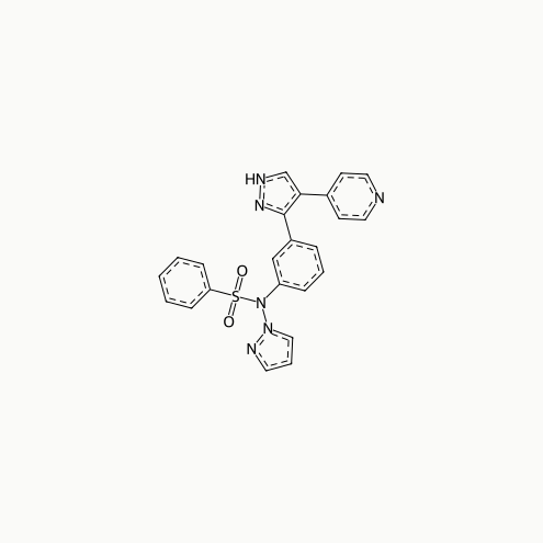 O=S(=O)(c1ccccc1)N(c1cccc(-c2n[nH]cc2-c2ccncc2)c1)n1cccn1